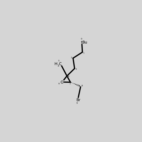 CC(C)(C)CCCC1(C)O[C@H]1CBr